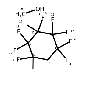 CO.FC1(F)CC(F)(F)C(F)(F)C(F)(F)C1(F)F